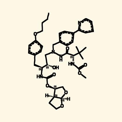 CCCCOc1ccc(C[C@H](NC(=O)O[C@H]2CO[C@H]3OCC[C@H]32)[C@@H](O)CN(Cc2ccc(-c3ccccn3)cc2)NC(=O)[C@@H](NC(=O)OC)C(C)(C)C)cc1